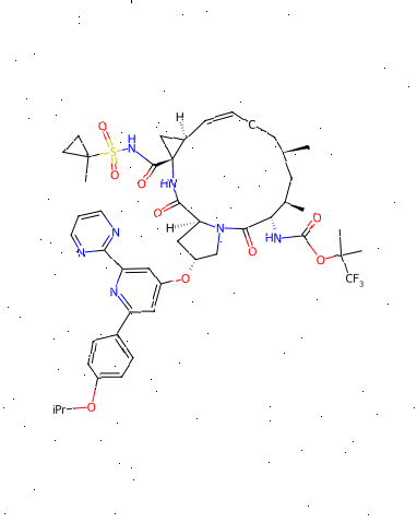 CC(C)Oc1ccc(-c2cc(O[C@@H]3C[C@H]4C(=O)N[C@]5(C(=O)NS(=O)(=O)C6(C)CC6)C[C@H]5/C=C\CC[C@@H](C)C[C@@H](C)[C@H](NC(=O)OC(C)(C)C(F)(F)F)C(=O)N4C3)cc(-c3ncccn3)n2)cc1